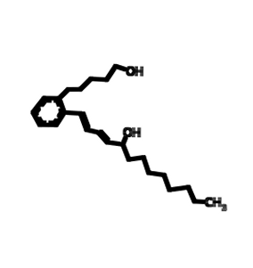 CCCCCCCCC(O)C=CC=Cc1ccccc1CCCCCO